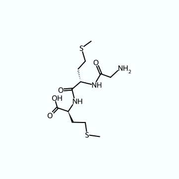 CSCC[C@H](NC(=O)[C@H](CCSC)NC(=O)CN)C(=O)O